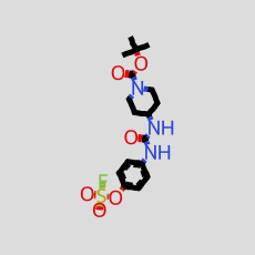 CC(C)(C)OC(=O)N1CCC(NC(=O)Nc2ccc(OS(=O)(=O)F)cc2)CC1